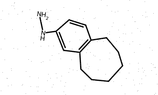 NNc1ccc2c(c1)CCCCCC2